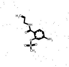 C=CCNC(=O)c1ccc(N)cc1OS(C)(=O)=O